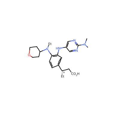 CC[C@@H](CC(=O)O)c1ccc(N(CC)C2CCOCC2)c(Nc2cnc(N(C)C)nc2)c1